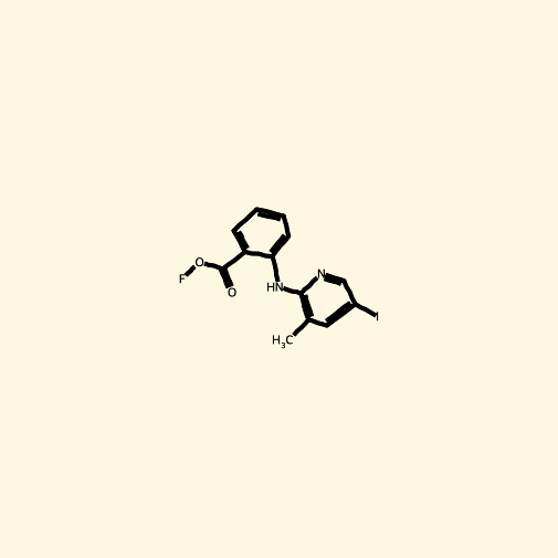 Cc1cc(I)cnc1Nc1ccccc1C(=O)OF